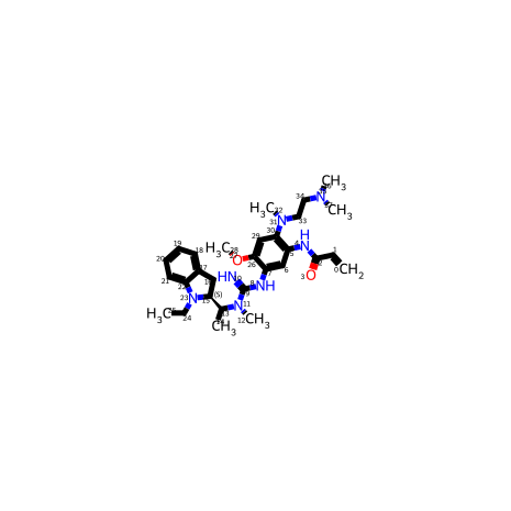 C=CC(=O)Nc1cc(NC(=N)N(C)C(C)[C@@H]2Cc3ccccc3N2CC)c(OC)cc1N(C)CCN(C)C